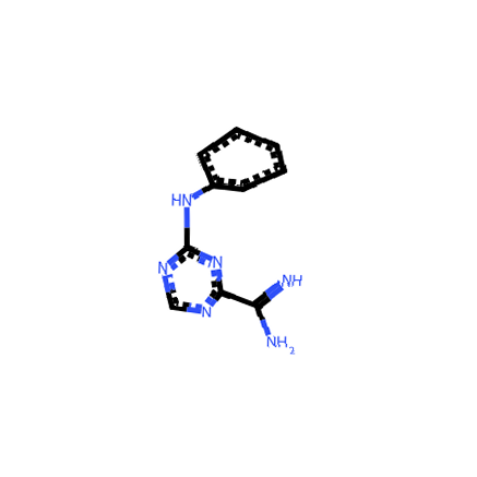 N=C(N)c1ncnc(Nc2ccccc2)n1